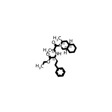 CCOC(=O)[C@H](CCc1ccccc1)N[C@@H](C)C(=O)N1C[C@H]2CCCC[C@H]2C[C@@H]1C